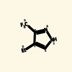 CCc1[c][nH]nc1C(F)(F)F